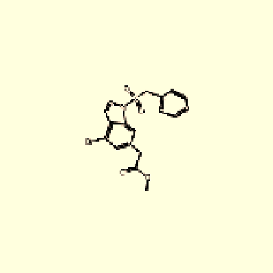 COC(=O)Cc1cc(Br)c2ccn(S(=O)(=O)Cc3ccccc3)c2c1